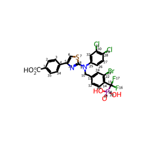 O=C(O)c1ccc(-c2csc(N(Cc3ccc(C(F)(F)P(=O)(O)O)c(Br)c3)c3ccc(Cl)c(Cl)c3)n2)cc1